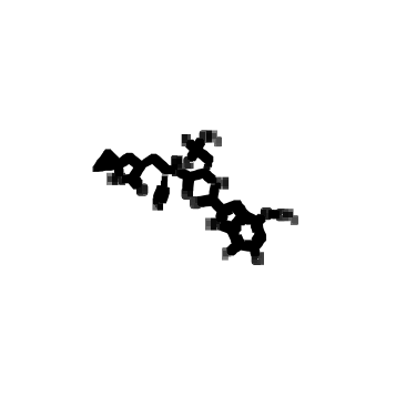 COc1cc(Cl)c(F)c2[nH]c(C(=O)N[C@@H](CC(C)(C)F)C(=O)N[C@H](C#N)C[C@@H]3CC4(CC4)NC3=O)cc12